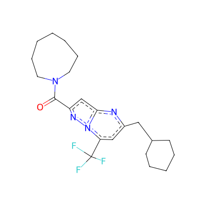 O=C(c1cc2nc(CC3CCCCC3)cc(C(F)(F)F)n2n1)N1CCCCCCC1